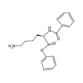 NCCCC[C@@H](NC(=O)c1ccccc1)C(=O)Oc1ccccc1